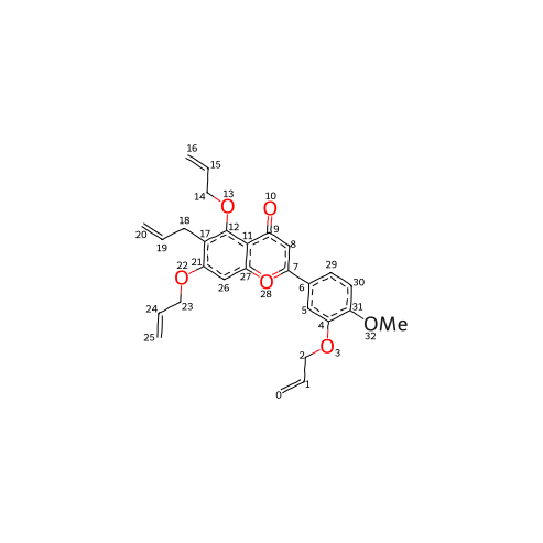 C=CCOc1cc(-c2cc(=O)c3c(OCC=C)c(CC=C)c(OCC=C)cc3o2)ccc1OC